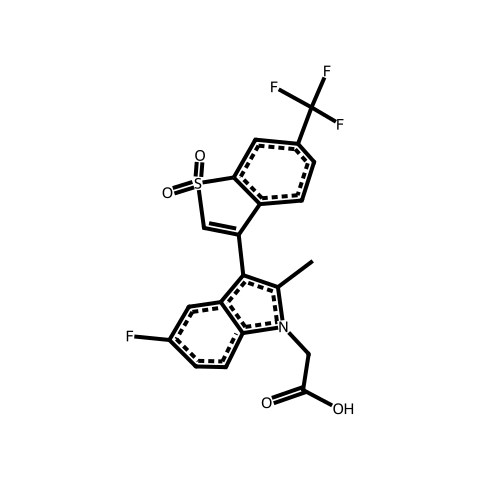 Cc1c(C2=CS(=O)(=O)c3cc(C(F)(F)F)ccc32)c2cc(F)ccc2n1CC(=O)O